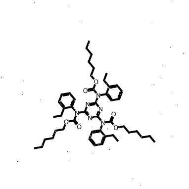 CCCCCCOC(=O)N(c1nc(N(C(=O)OCCCCCC)c2ccccc2CC)nc(N(C(=O)OCCCCCC)c2ccccc2CC)n1)c1ccccc1CC